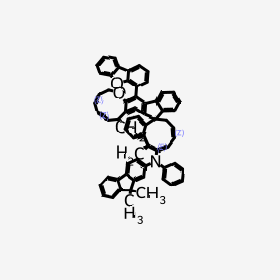 C=C1/C(N(c2ccccc2)c2ccc3c(c2)C(C)(C)c2ccccc2-3)=C\C=C/CC2(c3ccccc31)c1ccccc1-c1c2cc2c(c1-c1cccc3c1oc1ccccc13)OC/C=C\C=C/C2=C